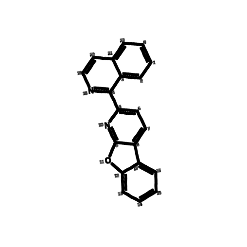 c1ccc2c(-c3ccc4c(n3)oc3ccccc34)nccc2c1